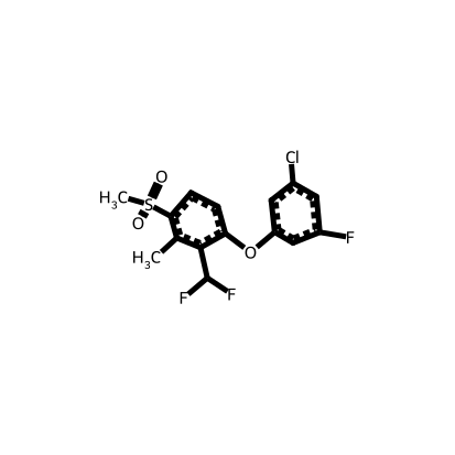 Cc1c(S(C)(=O)=O)ccc(Oc2cc(F)cc(Cl)c2)c1C(F)F